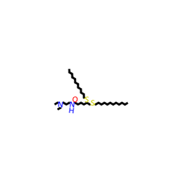 CCCCCCCCCCCCSCC(CCCC(=O)NCCCN(CC)CC)SCCCCCCCCCCCC